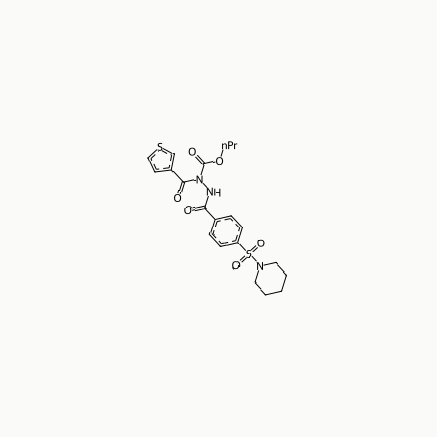 CCCOC(=O)N(NC(=O)c1ccc(S(=O)(=O)N2CCCCC2)cc1)C(=O)c1ccsc1